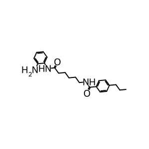 CCCc1ccc(C(=O)NCCCCCC(=O)Nc2ccccc2N)cc1